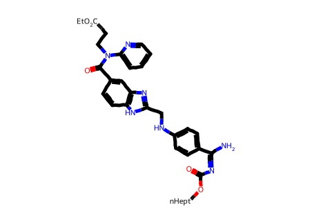 CCCCCCCOC(=O)/N=C(/N)c1ccc(NCc2nc3cc(C(=O)N(CCC(=O)OCC)c4ccccn4)ccc3[nH]2)cc1